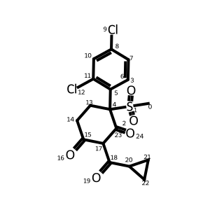 CS(=O)(=O)C1(c2ccc(Cl)cc2Cl)CCC(=O)C(C(=O)C2CC2)C1=O